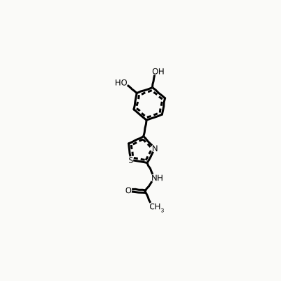 CC(=O)Nc1nc(-c2ccc(O)c(O)c2)cs1